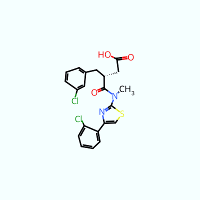 CN(C(=O)[C@@H](CC(=O)O)Cc1cccc(Cl)c1)c1nc(-c2ccccc2Cl)cs1